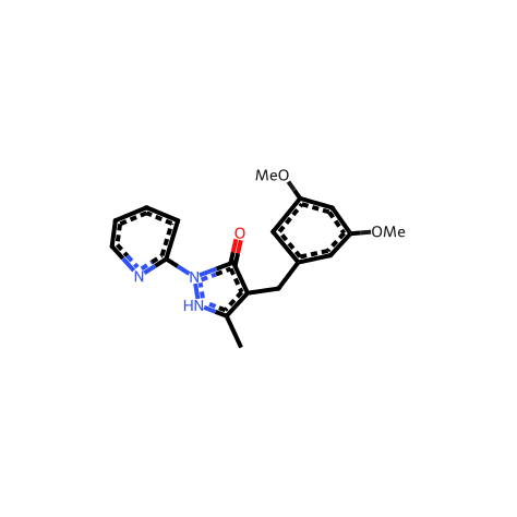 COc1cc(Cc2c(C)[nH]n(-c3ccccn3)c2=O)cc(OC)c1